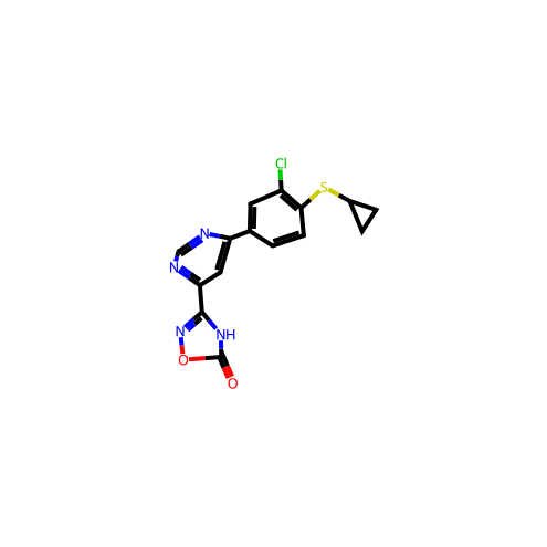 O=c1[nH]c(-c2cc(-c3ccc(SC4CC4)c(Cl)c3)ncn2)no1